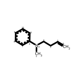 C=CCCN(C)c1ccccc1